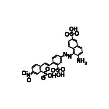 Nc1ccc2cc(S(=O)(=O)O)ccc2c1N=Nc1ccc(C=Cc2ccc([N+](=O)[O-])cc2S(=O)(=O)O)c(S(=O)(=O)O)c1